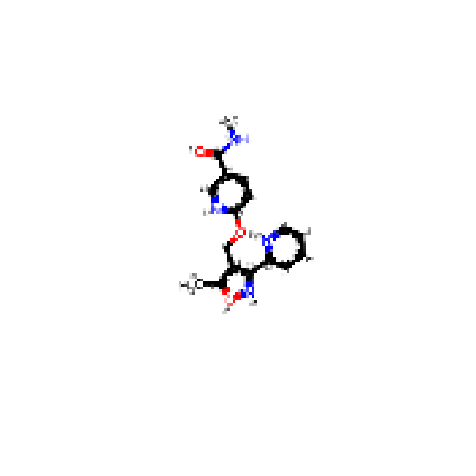 CCNC(=O)c1ccc(OCc2c(-c3ccccn3)noc2C)nc1